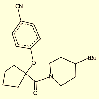 CC(C)(C)C1CCN(C(=O)C2(Oc3ccc(C#N)cc3)CCCC2)CC1